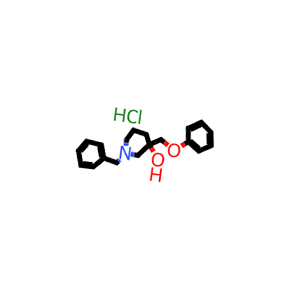 Cl.OC1(COc2ccccc2)CCCN(Cc2ccccc2)C1